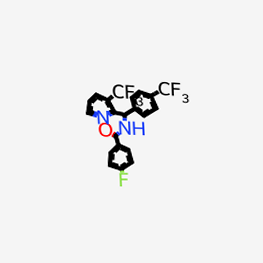 O=C(NC(c1ccc(C(F)(F)F)cc1)c1ncccc1C(F)(F)F)c1ccc(F)cc1